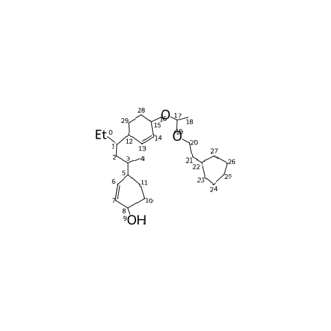 CCC(CC(C)C1C=CC(O)CC1)C1C=CC(OC(C)OCCC2CCCCC2)CC1